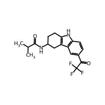 CC(C)C(=O)NC1CCc2[nH]c3ccc(C(=O)C(F)(F)F)cc3c2C1